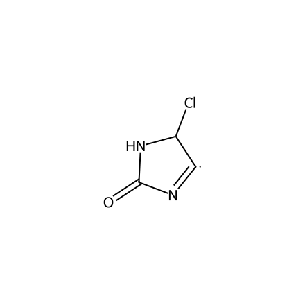 O=C1N=[C]C(Cl)N1